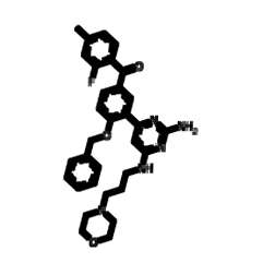 Cc1ccc(C(=O)c2ccc(OCc3ccccc3)c(-c3cc(NCCCN4CCOCC4)nc(N)n3)c2)c(F)c1